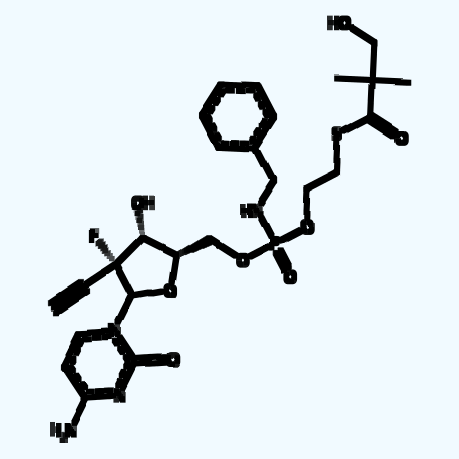 C#C[C@]1(F)C(n2ccc(N)nc2=O)O[C@H](COP(=O)(NCc2ccccc2)OCCSC(=O)C(C)(C)CO)[C@H]1O